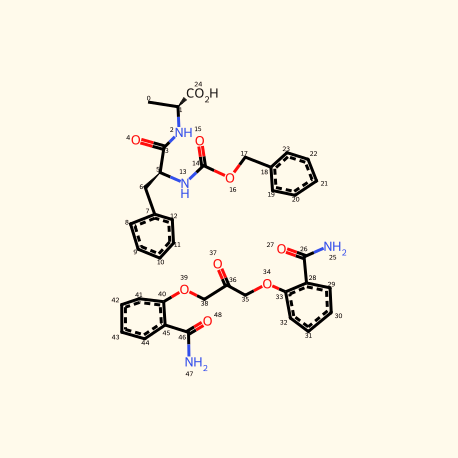 C[C@H](NC(=O)[C@H](Cc1ccccc1)NC(=O)OCc1ccccc1)C(=O)O.NC(=O)c1ccccc1OCC(=O)COc1ccccc1C(N)=O